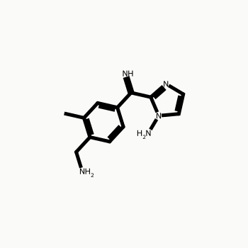 Cc1cc(C(=N)c2nccn2N)ccc1CN